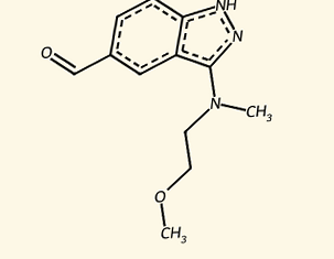 COCCN(C)c1n[nH]c2ccc(C=O)cc12